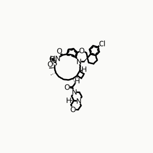 C[C@@H]1[C@@H](C)CCC[C@@H](CC(=O)N2CCN3CCOC[C@H]3C2)[C@@H]2CC[C@H]2CN2C[C@@]3(CCCc4cc(Cl)ccc43)COc3ccc(cc32)C(=O)NS1(=O)=O